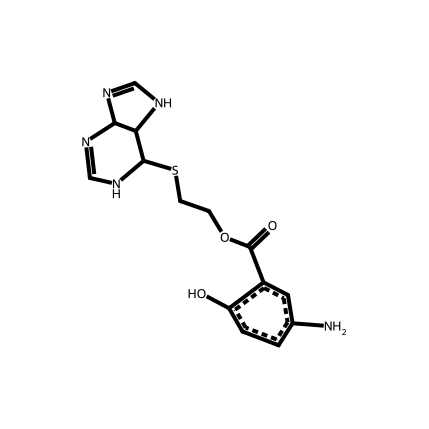 Nc1ccc(O)c(C(=O)OCCSC2NC=NC3N=CNC32)c1